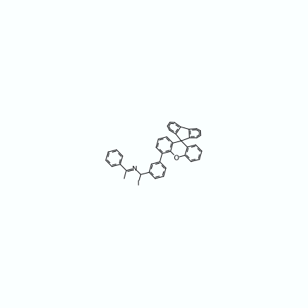 C/C(=N\C(I)c1cccc(-c2cccc3c2Oc2ccccc2C32c3ccccc3-c3ccccc32)c1)c1ccccc1